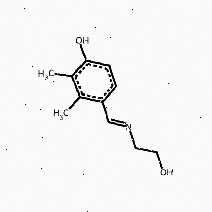 Cc1c(O)ccc(C=NCCO)c1C